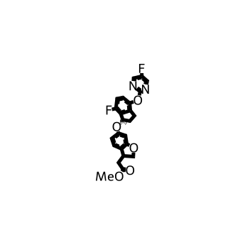 COC(=O)CC1COc2cc(O[C@@H]3CCc4c(Oc5ncc(F)cn5)ccc(F)c43)ccc21